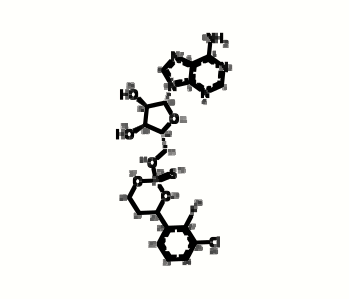 Nc1ncnc2c1ncn2[C@@H]1O[C@H](COP2(=S)OCCC(c3cccc(Cl)c3F)O2)[C@@H](O)[C@H]1O